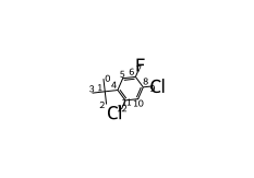 CC(C)(C)c1cc(F)c(Cl)cc1Cl